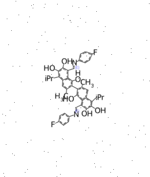 Cc1cc2c(C(C)C)c(O)c(O)c(/C=N/c3ccc(F)cc3)c2c(O)c1-c1c(C)cc2c(C(C)C)c(O)c(O)c(/C=N/c3ccc(F)cc3)c2c1O